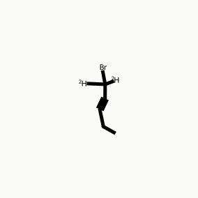 [2H]C([2H])(Br)C#CCC